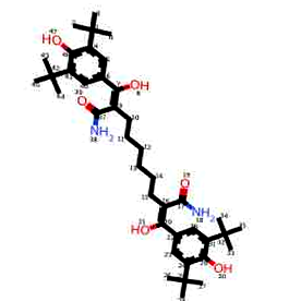 CC(C)(C)c1cc(C(O)=C(CCCCCCC(C(N)=O)=C(O)c2cc(C(C)(C)C)c(O)c(C(C)(C)C)c2)C(N)=O)cc(C(C)(C)C)c1O